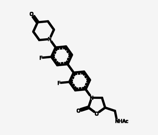 CC(=O)NCC1CN(c2ccc(-c3ccc(N4CCC(=O)CC4)c(F)c3)c(F)c2)C(=O)O1